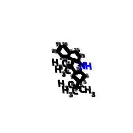 CC(C)(C)c1ccc2c(c1)C(C)(C)c1c(ccc3ccccc13)N2